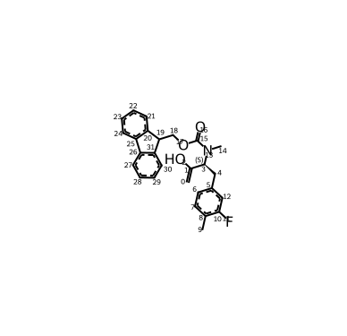 C=C(O)[C@H](Cc1ccc(C)c(F)c1)N(C)C(=O)OCC1c2ccccc2-c2ccccc21